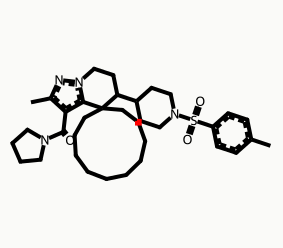 Cc1ccc(S(=O)(=O)N2CCC(C3CCn4nc(C)c(C(=O)N5CCCC5)c4C34CCCCCCCCCC4)CC2)cc1